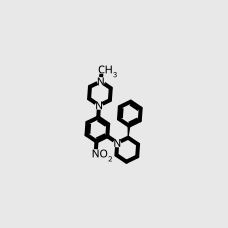 CN1CCN(c2ccc([N+](=O)[O-])c(N3CCCC[C@@H]3c3ccccc3)c2)CC1